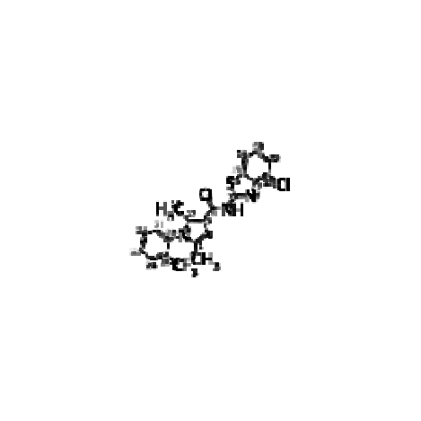 Cc1cc(C(=O)Nc2nc3c(Cl)cccc3s2)c(C)n1-c1ccccc1C(F)(F)F